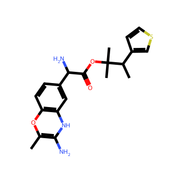 CC1=C(N)Nc2cc(C(N)C(=O)OC(C)(C)C(C)c3ccsc3)ccc2O1